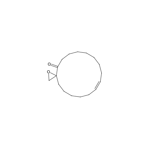 O=C1CCCCCCCC=CCCCCCC12CO2